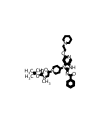 CN(CC(=O)N1CCC(n2c(=NC(=O)c3ccccc3)[nH]c3cnc(OCCN4CCCCC4)cc32)CC1)C(=O)OC(C)(C)C